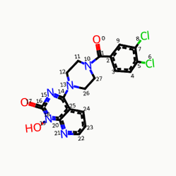 O=C(c1ccc(Cl)c(Cl)c1)N1CCN(c2nc(=O)n(O)c3ncccc23)CC1